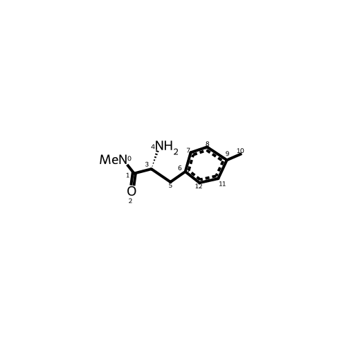 CNC(=O)[C@H](N)Cc1ccc(C)cc1